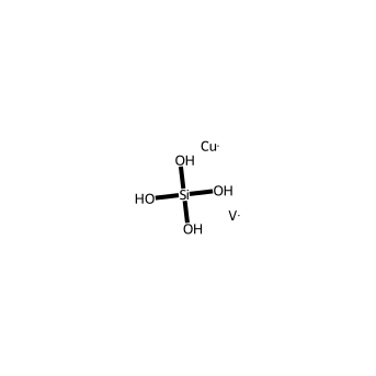 O[Si](O)(O)O.[Cu].[V]